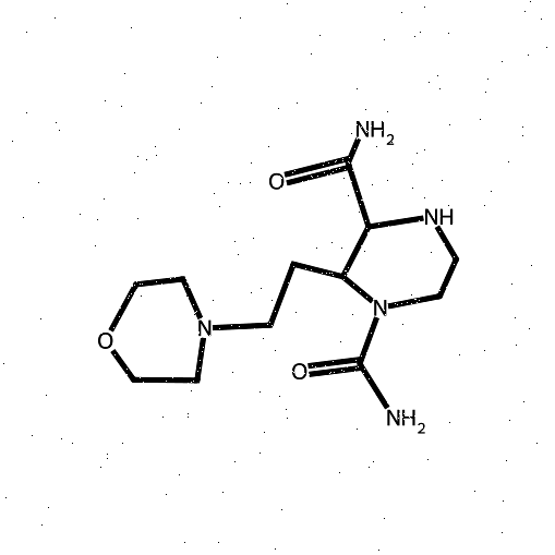 NC(=O)C1NCCN(C(N)=O)C1CCN1CCOCC1